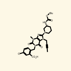 CC#CCn1c(N2CCC[C@H](NC(=O)OC(C)(C)C)C2)nc2c1c(=O)n(Cc1ccc(Cl)cc1C(=O)O)c(=O)n2C